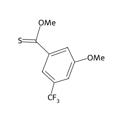 COC(=S)c1cc(OC)cc(C(F)(F)F)c1